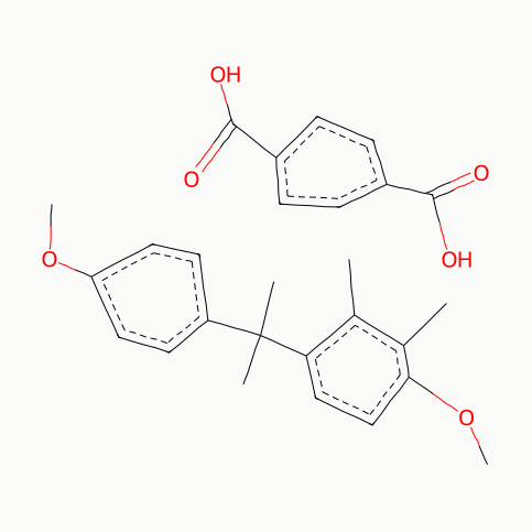 COc1ccc(C(C)(C)c2ccc(OC)c(C)c2C)cc1.O=C(O)c1ccc(C(=O)O)cc1